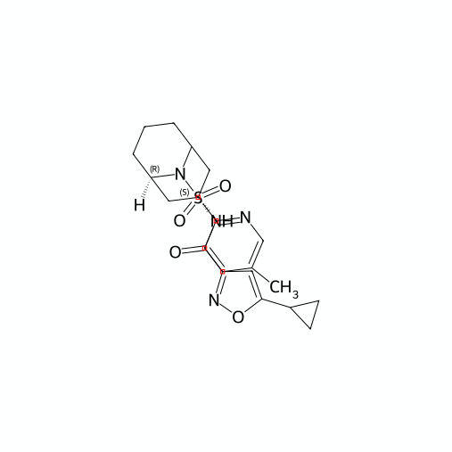 Cc1ccc(S(=O)(=O)N2C3CCC[C@@H]2C[C@@H](NC(=O)c2cc(C4CC4)on2)C3)nc1